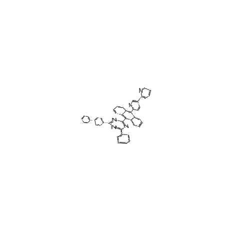 c1ccc(-c2ccc(-c3nc(-c4ccccc4)nc(-c4c5ccccc5c(-c5ccc(-c6ccccn6)cn5)c5ccccc45)n3)cc2)cc1